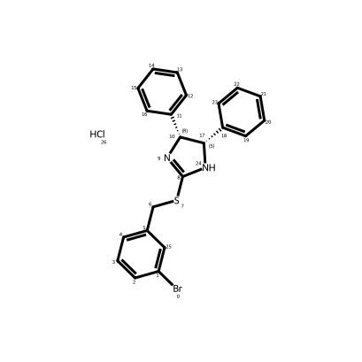 Brc1cccc(CSC2=N[C@H](c3ccccc3)[C@H](c3ccccc3)N2)c1.Cl